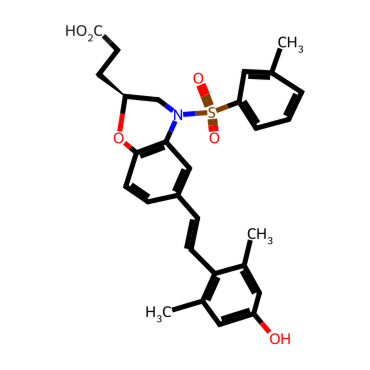 Cc1cccc(S(=O)(=O)N2C[C@H](CCC(=O)O)Oc3ccc(/C=C/c4c(C)cc(O)cc4C)cc32)c1